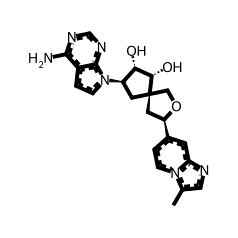 Cc1cnc2cc([C@H]3C[C@@]4(CO3)C[C@@H](n3ccc5c(N)ncnc53)[C@H](O)[C@@H]4O)ccn12